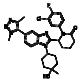 Cc1nnn(C)c1-c1ccc2c(c1)nc([C@@H]1CCCC(=O)N1c1ccc(F)c(Cl)c1)n2C1CCC(C)(O)CC1